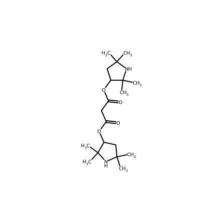 CC1(C)CC(OC(=O)CC(=O)OC2CC(C)(C)NC2(C)C)C(C)(C)N1